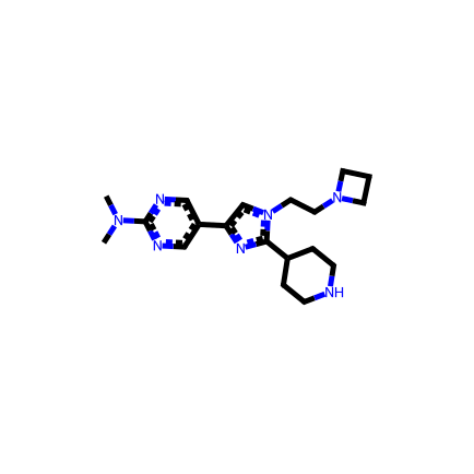 CN(C)c1ncc(-c2cn(CCN3CCC3)c(C3CCNCC3)n2)cn1